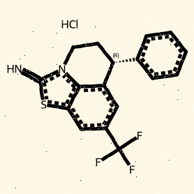 Cl.N=c1sc2cc(C(F)(F)F)cc3c2n1CC[C@@H]3c1ccccc1